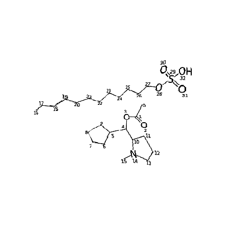 CC(=O)OC(C1CCCC1)C1CCCN1C.CCCCCCCCCCCCOS(=O)(=O)O